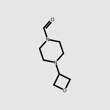 O=CN1CCN(C2COC2)CC1